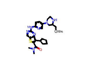 COCC1CN(c2ccc(Nc3ncc4sc(C(=O)N(C)C)c(C5CCCC5)c4n3)nc2)CCN1